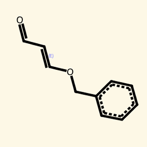 O=C/C=C/OCc1ccccc1